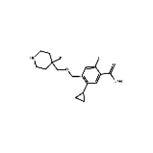 COC(=O)c1cc(C2CC2)c(COCC2(F)CCNCC2)cc1F